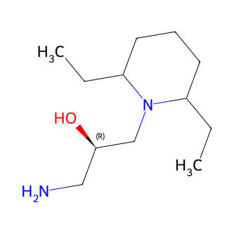 CCC1CCCC(CC)N1C[C@H](O)CN